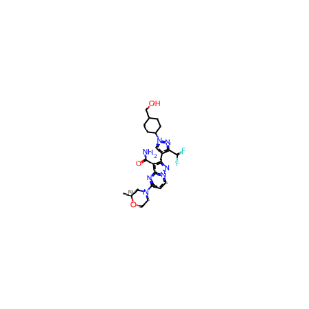 C[C@H]1CN(c2ccn3nc(-c4cn(C5CCC(CO)CC5)nc4C(F)F)c(C(N)=O)c3n2)CCO1